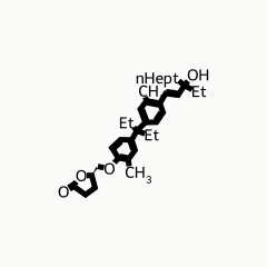 CCCCCCCC(O)(/C=C/c1ccc(C(CC)(CC)c2ccc(OC[C@@H]3CCC(=O)O3)c(C)c2)cc1C)CC